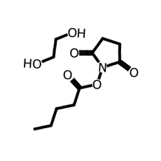 CCCCC(=O)ON1C(=O)CCC1=O.OCCO